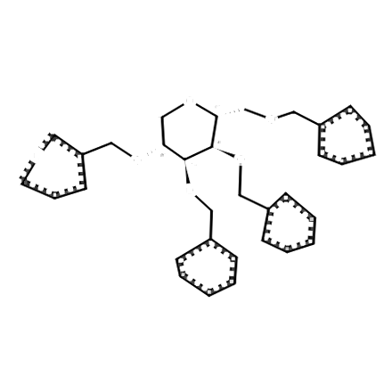 [CH]1O[C@H](COCc2ccccc2)[C@@H](OCc2ccccc2)[C@@H](OCc2ccccc2)[C@@H]1OCc1ccccc1